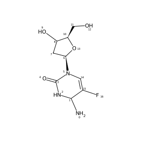 NC1NC(=O)N([C@H]2CC(O)[C@@H](CO)O2)C=C1F